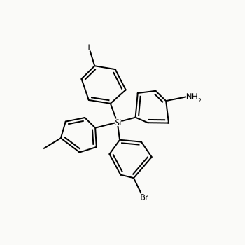 Cc1ccc([Si](c2ccc(N)cc2)(c2ccc(Br)cc2)c2ccc(I)cc2)cc1